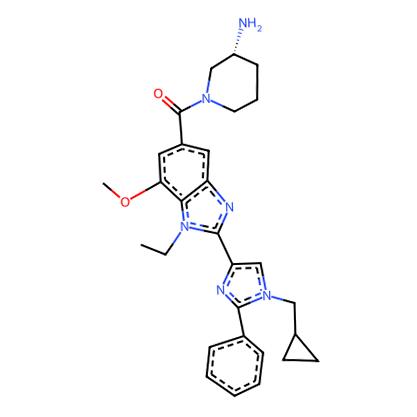 CCn1c(-c2cn(CC3CC3)c(-c3ccccc3)n2)nc2cc(C(=O)N3CCC[C@@H](N)C3)cc(OC)c21